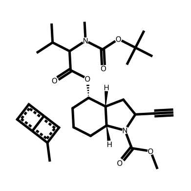 C#CC1C[C@H]2[C@@H](OC(=O)C(C(C)C)N(C)C(=O)OC(C)(C)C)CCC[C@H]2N1C(=O)OC.Cc1cc2ccc1-2